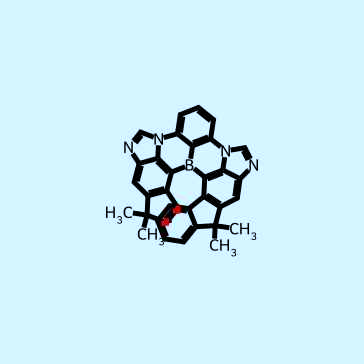 CC1(C)c2ccccc2-c2c1cc1ncn3c1c2B1c2c-3cccc2-n2cnc3cc4c(c1c32)-c1ccccc1C4(C)C